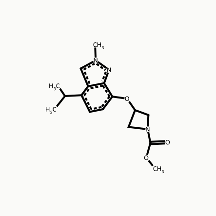 COC(=O)N1CC(Oc2ccc(C(C)C)c3cn(C)nc23)C1